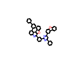 c1ccc(-c2cccc(-c3cccc4nc(-c5cccc(-c6nc(-c7ccccc7)cc(-c7ccc8oc9ccccc9c8c7)n6)c5)c5oc6ccccc6c5c34)c2)cc1